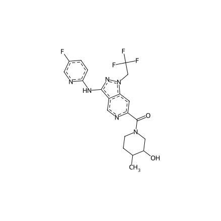 CC1CCN(C(=O)c2cc3c(cn2)c(Nc2ccc(F)cn2)nn3CC(F)(F)F)CC1O